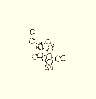 c1ccc(-c2cccc(-c3nc(-c4ccccc4)nc(-c4cccc5oc6cc(-n7c8cc9ccccc9cc8c8c9ccccc9ccc87)c(-c7cc(-c8ccccc8)cc(-c8ccccc8)c7)cc6c45)n3)c2)cc1